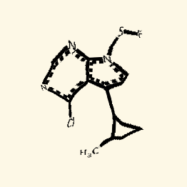 CC1CC1c1cn(SF)c2ncnc(Cl)c12